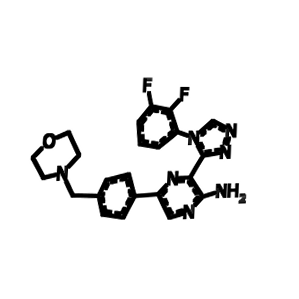 Nc1ncc(-c2ccc(CN3CCOCC3)cc2)nc1-c1nncn1-c1cccc(F)c1F